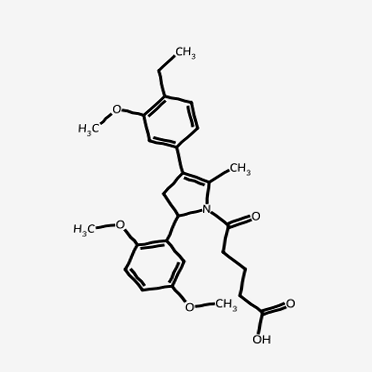 CCc1ccc(C2=C(C)N(C(=O)CCCC(=O)O)C(c3cc(OC)ccc3OC)C2)cc1OC